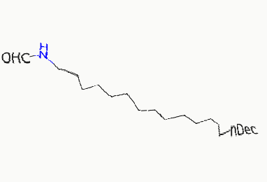 CCCCCCCCCCCCCCCCCCCCCCCNC=O